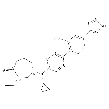 CC[C@H]1C[C@@H](N(c2cnc(-c3ccc(-c4cn[nH]c4)cc3O)nn2)C2CC2)CCC[C@@H]1F